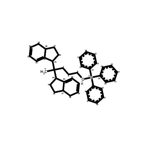 CC(CCCO[Si](c1ccccc1)(c1ccccc1)c1ccccc1)(C1CCC2CC=CC=C21)C1CCC2CC=CC=C21